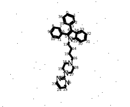 c1ccc(-c2c(-c3ccccc3)n(CCCCN3CCN(c4ncccn4)CC3)c3ccccc23)cc1